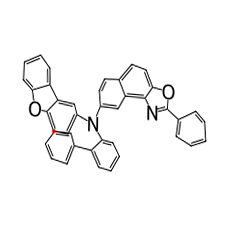 c1ccc(-c2nc3c(ccc4ccc(N(c5ccc6oc7ccccc7c6c5)c5ccccc5-c5ccccc5)cc43)o2)cc1